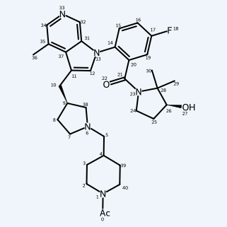 CC(=O)N1CCC(CN2CC[C@@H](Cc3cn(-c4ccc(F)cc4C(=O)N4CC[C@H](O)C4(C)C)c4cncc(C)c34)C2)CC1